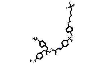 [CH2]C(COC(=O)/C=C/c1ccc(C(F)(F)Oc2ccc(OCCCCCC(F)(F)F)cc2)cc1)(Cc1ccc(N)cc1)Cc1ccc(N)cc1